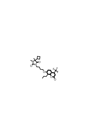 CCCc1c(OCCCCN2C(=O)N(C)C(C)(C3CCC3)C2=O)ccc2c(C(F)(F)F)cc(=O)oc12